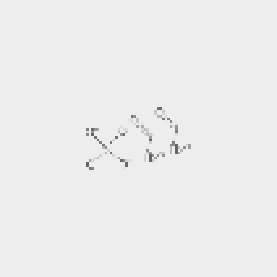 O=[CH][Tb+2].O=[CH][Tb+2].[O-][Si]([O-])([O-])[O-]